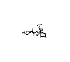 C[N+]1(CCCO)CCCC1Cl.[Cl-]